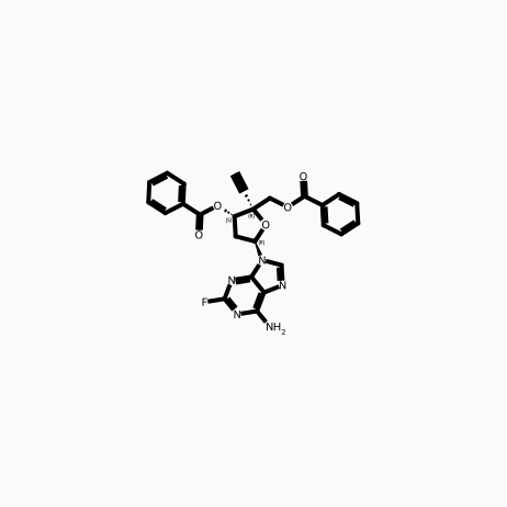 C#C[C@]1(COC(=O)c2ccccc2)O[C@@H](n2cnc3c(N)nc(F)nc32)C[C@@H]1OC(=O)c1ccccc1